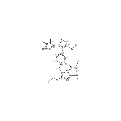 CCCc1nc2c(C)cc(C)nc2n1Cc1ccc(-c2c(-c3nnn[nH]3)ccn2CC)cc1